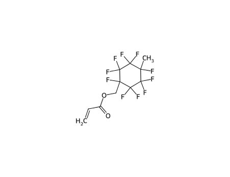 C=CC(=O)OCC1(F)C(F)(F)C(F)(F)C(C)(F)C(F)(F)C1(F)F